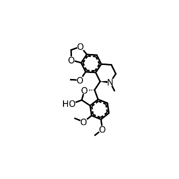 COc1ccc2c(c1OC)C(O)O[C@@H]2[C@H]1c2c(cc3c(c2OC)OCO3)CCN1C